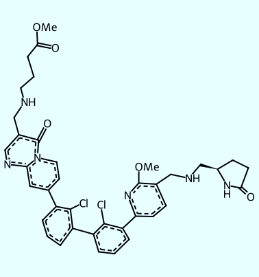 COC(=O)CCCNCc1cnc2cc(-c3cccc(-c4cccc(-c5ccc(CNC[C@H]6CCC(=O)N6)c(OC)n5)c4Cl)c3Cl)ccn2c1=O